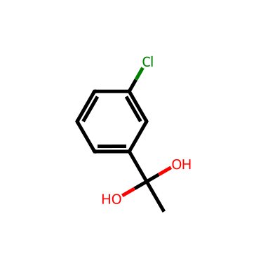 CC(O)(O)c1cccc(Cl)c1